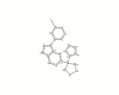 Ic1cccc(-c2onc3ccc(C4(c5cccs5)OCCO4)cc23)c1